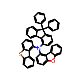 c1ccc(C2(c3ccccc3)c3ccccc3-c3c(N(c4cccc5oc6ccccc6c45)c4cccc5sc6ccccc6c45)cccc32)cc1